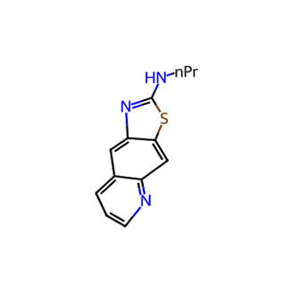 CCCNc1nc2cc3cccnc3cc2s1